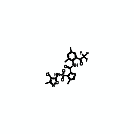 Cc1cc(C)c(NC(=O)c2scc(C)c2S(=O)(=O)Nc2onc(C)c2Cl)c(C(=O)C(F)(F)F)c1